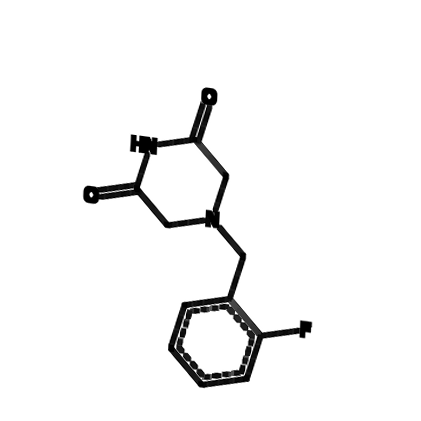 O=C1CN(Cc2ccccc2F)CC(=O)N1